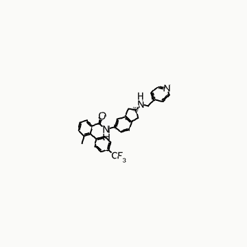 Cc1cccc(C(=O)Nc2ccc3c(c2)C[C@@H](NCc2ccncc2)C3)c1-c1ccc(C(F)(F)F)cc1